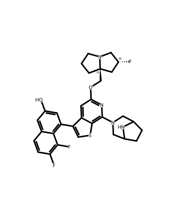 Oc1cc(-c2csc3c(N4CC5CCC(C4)N5)nc(OC[C@@]45CCCN4C[C@H](F)C5)cc23)c2c(F)c(F)ccc2c1